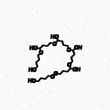 OCCCCOOCCCC(O)OCCCC(O)OCCCC(O)OCCCC(O)OCCCCO